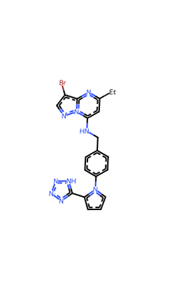 CCc1cc(NCc2ccc(-n3cccc3-c3nnn[nH]3)cc2)n2ncc(Br)c2n1